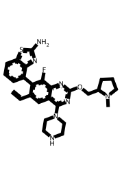 C=Cc1cc2c(N3CCNCC3)nc(OCC3CCCN3C)nc2c(F)c1-c1cccc2sc(N)nc12